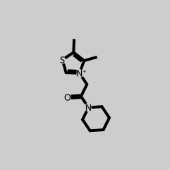 Cc1sc[n+](CC(=O)N2CCCCC2)c1C